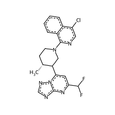 C[C@@H]1CCN(c2ncc(Cl)c3ccccc23)CC1c1cc(C(F)F)nc2ncnn12